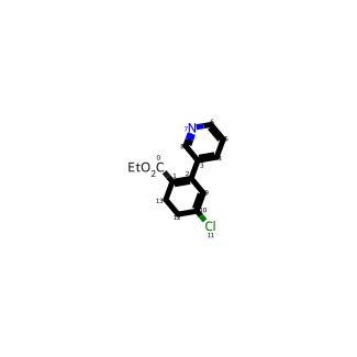 CCOC(=O)C1=C(c2cccnc2)C=C(Cl)CC1